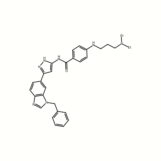 CCN(CC)CCCNc1ccc(C(=O)Nc2cc(-c3ccc4ncn(Cc5ccccc5)c4c3)n[nH]2)cc1